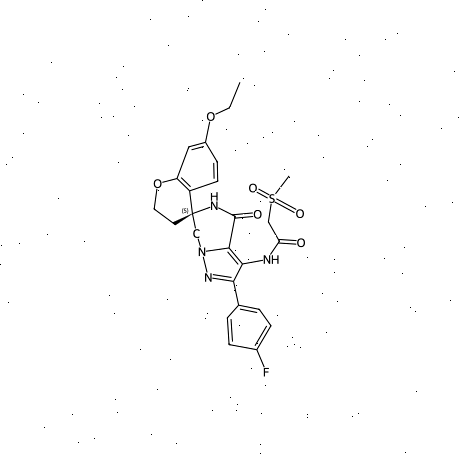 CCOc1ccc2c(c1)OCC[C@@]21Cn2nc(-c3ccc(F)cc3)c(NC(=O)CS(C)(=O)=O)c2C(=O)N1